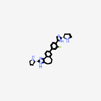 Fc1cc(-c2ccc3c(c2)CCCc2[nH]c([C@@H]4CCCN4)nc2-3)ccc1-c1cnc([C@@H]2CCCN2)[nH]1